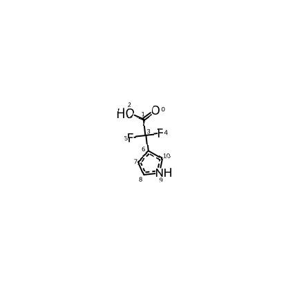 O=C(O)C(F)(F)c1cc[nH]c1